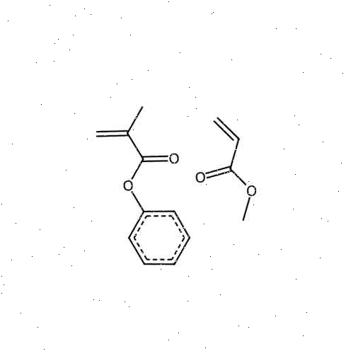 C=C(C)C(=O)Oc1ccccc1.C=CC(=O)OC